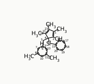 CC1=C(C)C(Cc2cc(C)cc(C)c2)([SiH2]c2ccccc2)C(C)=C1C